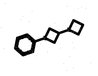 c1ccc(N2CC(N3CCC3)C2)cc1